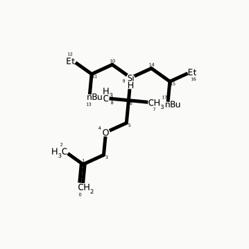 C=C(C)COCC(C)(C)[SiH](CC(CC)CCCC)CC(CC)CCCC